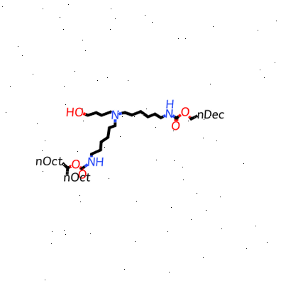 CCCCCCCCCCCOC(=O)NCCCCCCN(CCCCO)CCCCCCNC(=O)OC(CCCCCCCC)CCCCCCCC